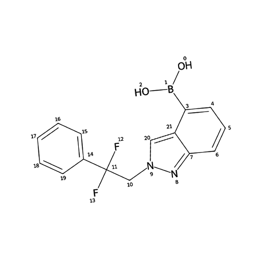 OB(O)c1cccc2nn(CC(F)(F)c3ccccc3)cc12